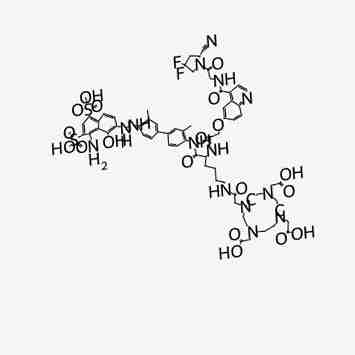 Cc1cc(-c2ccc(NC(=O)C(CCCCNC(=O)CN3CCN(CC(=O)O)CCN(CC(=O)O)CCN(CC(=O)O)CC3)NC(=O)COc3ccc4nccc(C(=O)NCC(=O)N5CC(F)(F)C[C@H]5C#N)c4c3)c(C)c2)ccc1NNc1ccc2c(S(=O)(=O)O)cc(S(=O)(=O)O)c(N)c2c1O